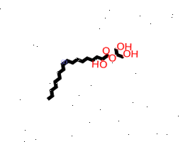 CCCCCCCC/C=C\CCCCCCC(O)C(=O)OC(CO)CO